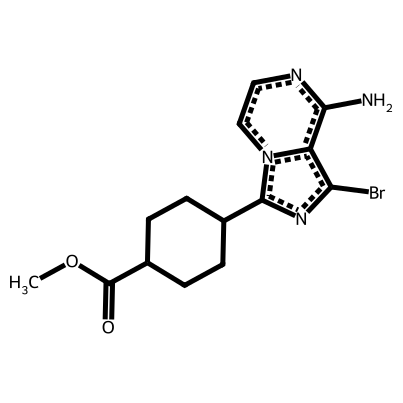 COC(=O)C1CCC(c2nc(Br)c3c(N)nccn23)CC1